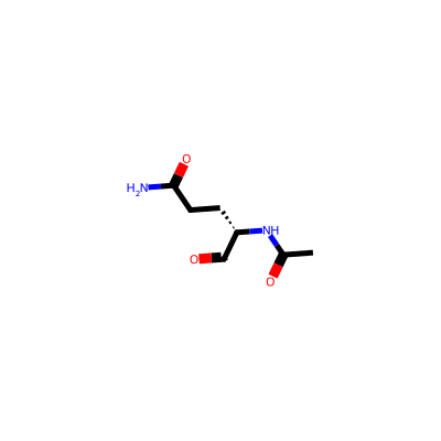 CC(=O)N[C@H]([C]=O)CCC(N)=O